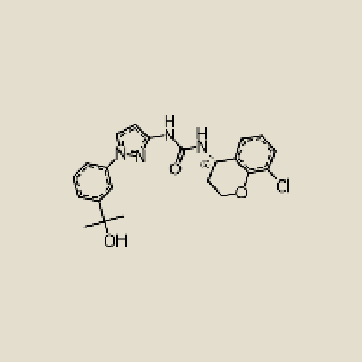 CC(C)(O)c1cccc(-n2ccc(NC(=O)N[C@H]3CCOc4c(Cl)cccc43)n2)c1